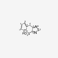 O=S(=O)(O)c1nsnc1Cc1ccccc1